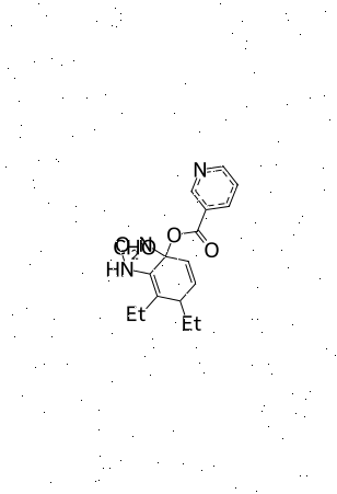 CCC1=C(NC=O)C(OC(=O)c2cccnc2)([N+](=O)[O-])C=CC1CC